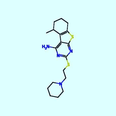 CC1CCCc2sc3nc(SCCN4CCCCC4)nc(N)c3c21